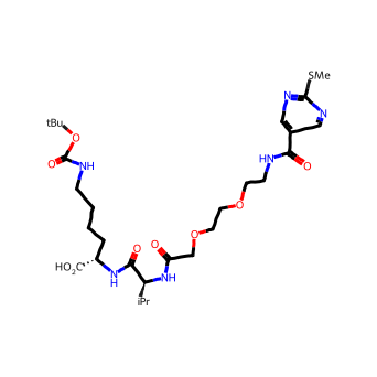 CSc1ncc(C(=O)NCCOCCOCC(=O)N[C@H](C(=O)N[C@@H](CCCCNC(=O)OC(C)(C)C)C(=O)O)C(C)C)cn1